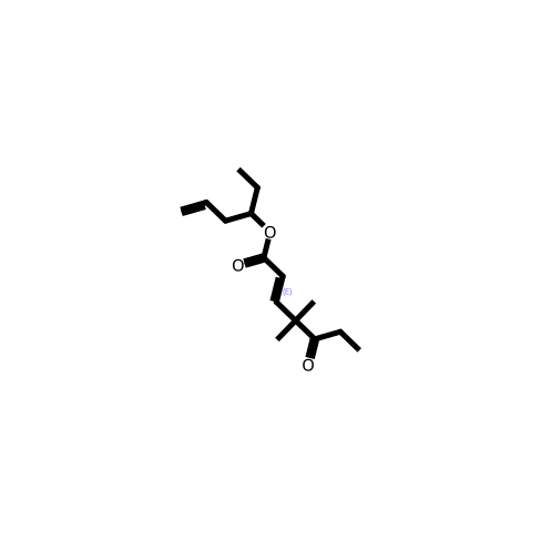 C=CCC(CC)OC(=O)/C=C/C(C)(C)C(=O)CC